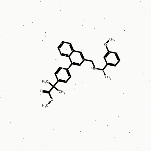 COC(=O)C(C)(C)c1ccc(-c2cc(CN[C@H](C)c3cccc(OC)c3)cc3ccccc23)cc1